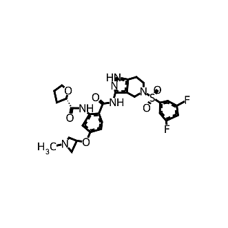 CN1CC(Oc2ccc(C(=O)Nc3n[nH]c4c3CN(S(=O)(=O)c3cc(F)cc(F)c3)CC4)c(NC(=O)[C@@H]3CCCO3)c2)C1